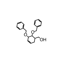 OCC1CC=CC(OCc2ccccc2)C1OCc1ccccc1